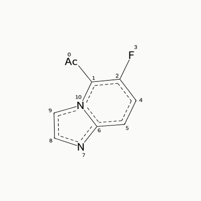 CC(=O)c1c(F)ccc2nccn12